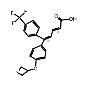 O=C(O)/C=C/C=C(/c1ccc(OC2CSC2)cc1)c1ccc(C(F)(F)F)cc1